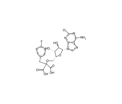 Nc1nc(Cl)nc2c1ncn2[C@@H]1O[C@H](COC(Cc2ccc(F)cc2)(C(=O)O)C(=O)O)[C@H](O)[C@H]1O